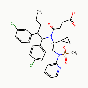 CCCC(c1cccc(Cl)c1)C(c1ccc(Cl)cc1)N(C(=O)CCC(=O)O)[C@H](CN(c1ccccn1)S(C)(=O)=O)C1CC1